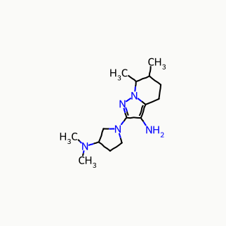 CC1CCc2c(N)c(N3CCC(N(C)C)C3)nn2C1C